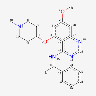 COc1cc(OC2CCN(C)CC2)c2c(NC(C)c3ccccc3)ncnc2c1